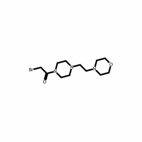 O=C(CBr)N1CCN(CCN2CCOCC2)CC1